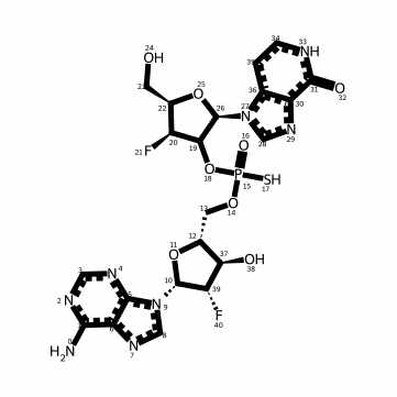 Nc1ncnc2c1ncn2[C@@H]1O[C@H](COP(=O)(S)OC2[C@@H](F)[C@@H](CO)O[C@H]2n2cnc3c(=O)[nH]ccc32)[C@@H](O)[C@@H]1F